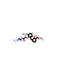 CCc1cccc(Cc2cccc(C)c2OCC(=O)NCCN)c1O